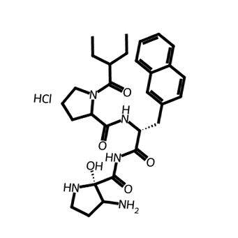 CCC(CC)C(=O)N1CCCC1C(=O)N[C@H](Cc1ccc2ccccc2c1)C(=O)NC(=O)[C@]1(O)NCCC1N.Cl